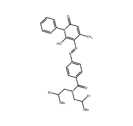 CCCCC(CC)CN(CC(CC)CCCC)C(=O)c1ccc(/N=N/c2c(C)cc(=O)n(-c3ccccc3)c2O)cc1